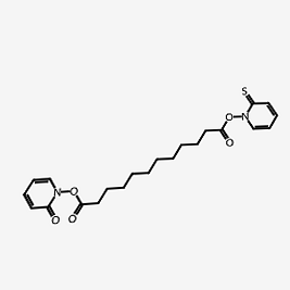 O=C(CCCCCCCCCCC(=O)On1ccccc1=S)On1ccccc1=O